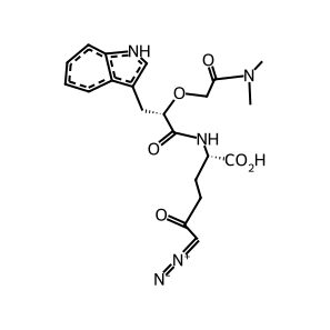 CN(C)C(=O)CO[C@@H](Cc1c[nH]c2ccccc12)C(=O)N[C@@H](CCC(=O)C=[N+]=[N-])C(=O)O